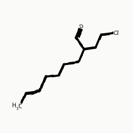 CCCCCCCC(C=O)CCCl